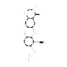 Cn1cnc2ccc(Nc3c(Cl)ccc(N=[N+]=[N-])c3C#N)cc2c1=O